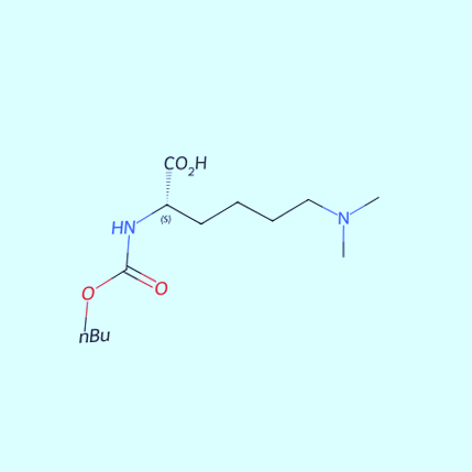 CCCCOC(=O)N[C@@H](CCCCN(C)C)C(=O)O